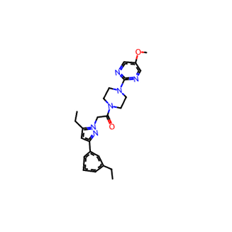 CCc1cccc(-c2cc(CC)n(CC(=O)N3CCN(c4ncc(OC)cn4)CC3)n2)c1